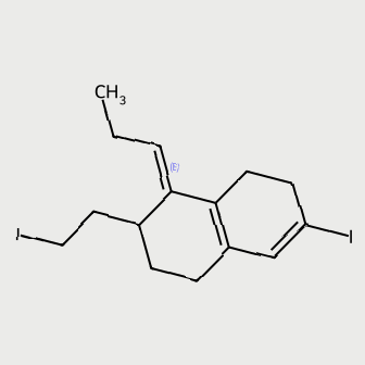 CC/C=C1/C2=C(C=C(I)CC2)CCC1CCI